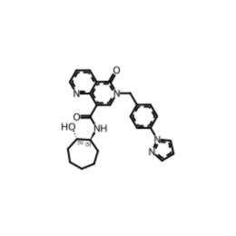 O=C(N[C@H]1CCCCC[C@@H]1O)c1cn(Cc2ccc(-n3cccn3)cc2)c(=O)c2cccnc12